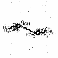 CC(C)(C)CC(C)(C)c1ccc(N(CCCCCCN(C(=O)O)c2ccc(C(C)(C)CC(C)(C)C)cc2)C(=O)O)cc1